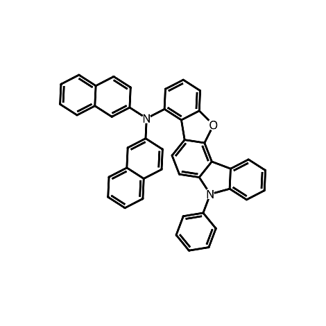 c1ccc(-n2c3ccccc3c3c4oc5cccc(N(c6ccc7ccccc7c6)c6ccc7ccccc7c6)c5c4ccc32)cc1